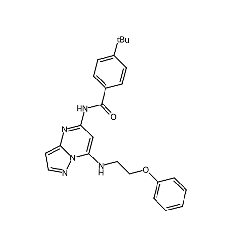 CC(C)(C)c1ccc(C(=O)Nc2cc(NCCOc3ccccc3)n3nccc3n2)cc1